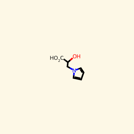 O=C(O)C(O)Cn1cccc1